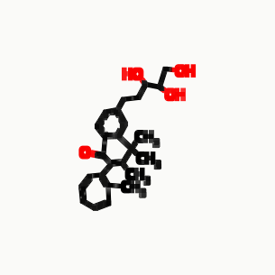 CC1=C(C2=C(C)C(C)(C)c3cc(CCC(O)C(O)CO)ccc3C2=O)C=C=CC=C1